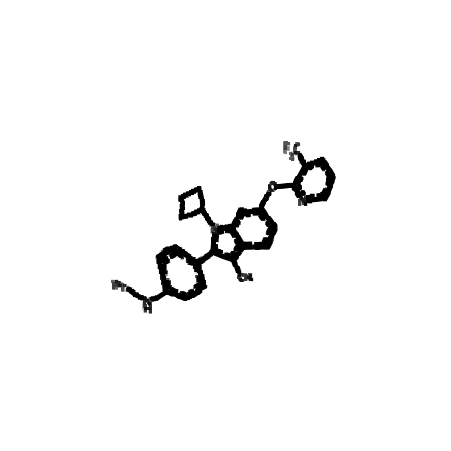 CC(C)Nc1ccc(-c2c(C#N)c3ccc(Oc4ncccc4C(F)(F)F)cc3n2C2CCC2)cc1